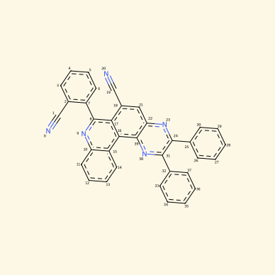 N#Cc1ccccc1-c1nc2ccccc2c2c1c(C#N)cc1nc(-c3ccccc3)c(-c3ccccc3)nc12